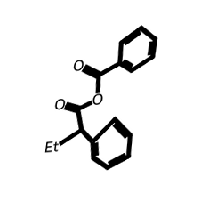 CCC(C(=O)OC(=O)c1ccccc1)c1ccccc1